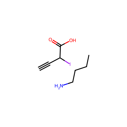 C#CC(I)C(=O)O.CCCCN